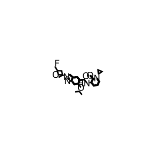 CC(C)Oc1cc2nn(C34COC(CF)(C3)C4)cc2cc1C(=O)Nc1cccn(C2CC2)c1=O